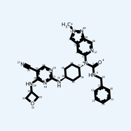 Cn1cc2cc(N(C(=O)NCc3ccccc3)[C@H]3CC[C@H](Nc4ncc(C#N)c(NC5COC5)n4)CC3)ncc2n1